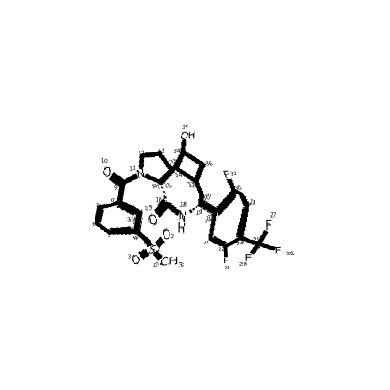 CS(=O)(=O)c1cccc(C(=O)N2CCC[C@@H]2C(=O)N[C@@H](c2cc(F)c(C(F)(F)F)cc2F)C2CC(O)C2)c1